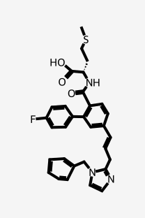 CSCC[C@H](NC(=O)c1ccc(/C=C/Cc2nccn2Cc2ccccc2)cc1-c1ccc(F)cc1)C(=O)O